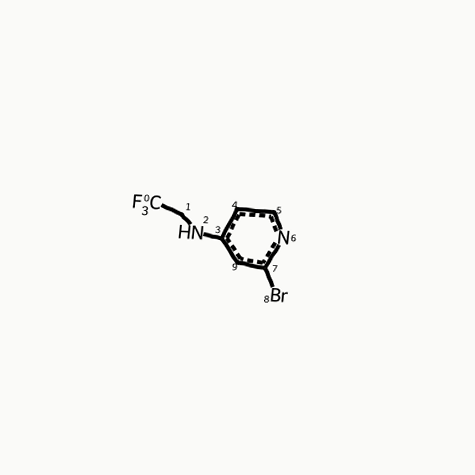 FC(F)(F)CNc1ccnc(Br)c1